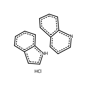 Cl.c1ccc2[nH]ccc2c1.c1ccc2ncccc2c1